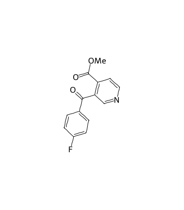 COC(=O)c1ccncc1C(=O)c1ccc(F)cc1